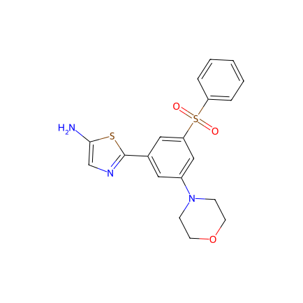 Nc1cnc(-c2cc(N3CCOCC3)cc(S(=O)(=O)c3ccccc3)c2)s1